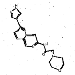 O=C(CN1CCOCC1)Nc1cc2cc(-c3cn[nH]c3)ccc2cn1